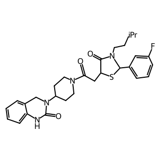 CC(C)CCN1C(=O)C(CC(=O)N2CCC(N3Cc4ccccc4NC3=O)CC2)SC1c1cccc(F)c1